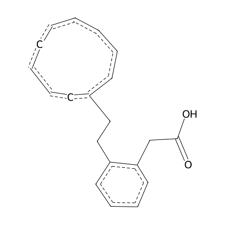 O=C(O)Cc1ccccc1CCc1ccccccccc1